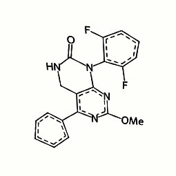 COc1nc(-c2ccccc2)c2c(n1)N(c1c(F)cccc1F)C(=O)NC2